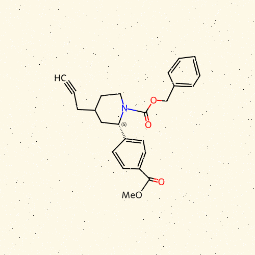 C#CCC1CCN(C(=O)OCc2ccccc2)[C@H](c2ccc(C(=O)OC)cc2)C1